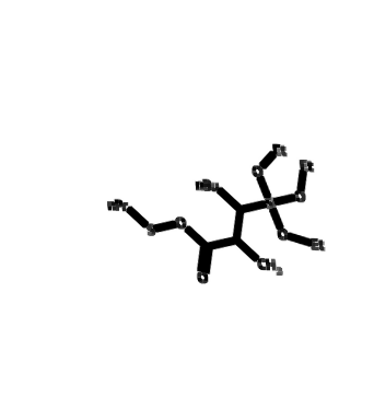 CCCCC(C(C)C(=O)OSCCC)[Si](OCC)(OCC)OCC